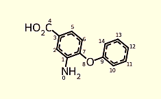 Nc1cc(C(=O)O)ccc1Oc1ccccc1